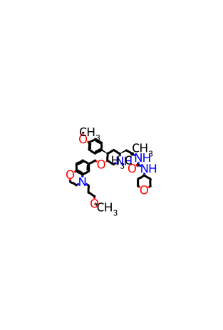 COCCCN1CCOc2ccc(CO[C@H]3CN[C@H](CC(C)(C)NC(=O)NC4CCOCC4)C[C@@H]3c3ccc(OC)cc3)cc21